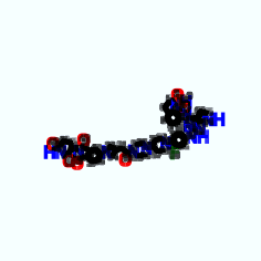 CS(=O)(=O)N1CCc2cccc(Nc3nc(Nc4ccc(N5CCC(N6CCN(C(=O)CC7CN(c8ccc9c(c8)C(=O)N(C8CCC(=O)NC8=O)C9=O)C7)CC6)CC5)c(F)c4)nc4[nH]ccc34)c21